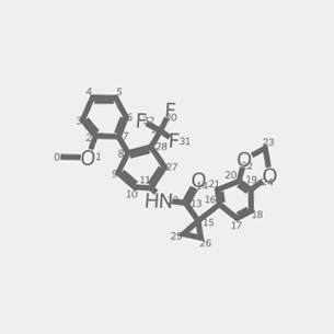 COc1ccccc1-c1ccc(NC(=O)C2(c3ccc4c(c3)OCO4)CC2)cc1C(F)(F)F